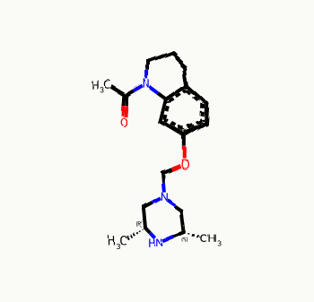 CC(=O)N1CCCc2ccc(OCN3C[C@@H](C)N[C@@H](C)C3)cc21